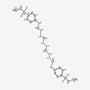 CC(C)(OO)c1ccc(COCCOCCOCCOCc2ccc(C(C)(C)OO)cc2)cc1